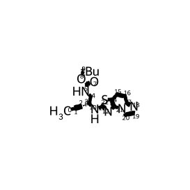 CC#C[C@H](CNC(=O)OC(C)(C)C)Nc1nc2c(ccc3nccn32)s1